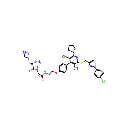 [C-]#[N+]c1c(N2CCCC2)nc(SCc2csc(-c3ccc(Cl)cc3)n2)c(C#N)c1-c1ccc(OCCOC(=O)[C@H](C)NC(=O)[C@@H](N)CCCN)cc1